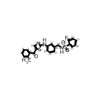 Cc1ccccc1C(=O)c1cnc(Nc2cccc(CNS(=O)(=O)c3ccccc3F)c2)s1